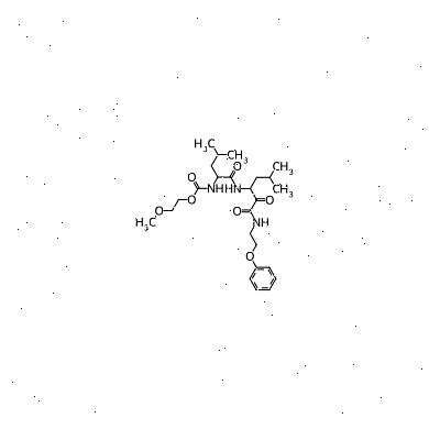 COCCOC(=O)NC(CC(C)C)C(=O)NC(CC(C)C)C(=O)C(=O)NCCOc1ccccc1